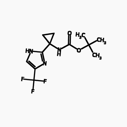 CC(C)(C)OC(=O)NC1(c2nc(C(F)(F)F)c[nH]2)CC1